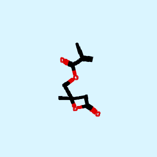 C=C(C)C(=O)OCC1(C)CC(=O)O1